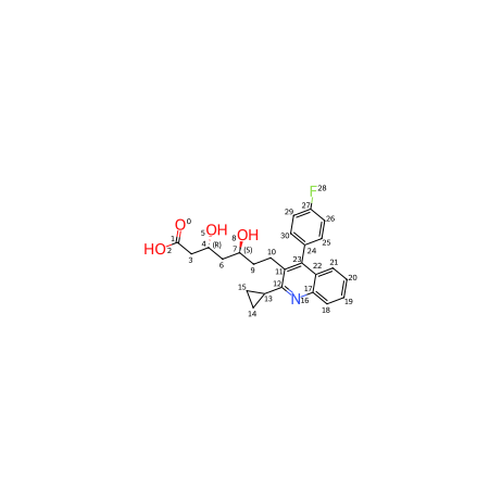 O=C(O)C[C@H](O)C[C@@H](O)CCc1c(C2CC2)nc2ccccc2c1-c1ccc(F)cc1